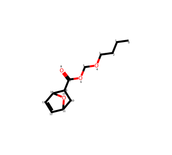 CCCCOCOC(=O)C1CC2C=CC1O2